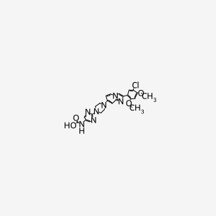 COc1cc(OC)c(-c2cn3ccc(N4CCN(c5ncc(NC(=O)O)cn5)CC4)cc3n2)cc1Cl